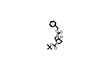 CC(C)(C)OC(=O)N1CC[C@@H]2C1CN2C(=O)OCc1ccccc1